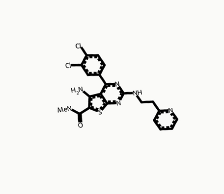 CNC(=O)c1sc2nc(NCCc3ccccn3)nc(-c3ccc(Cl)c(Cl)c3)c2c1N